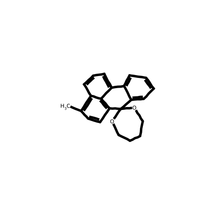 Cc1ccc2c3c(cccc13)-c1ccccc1C21OCCCCO1